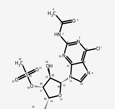 CC(=O)Nc1nc(Cl)c2ncn([C@@H]3O[C@H](CO)[C@H](OS(C)(=O)=O)[C@H]3O)c2n1